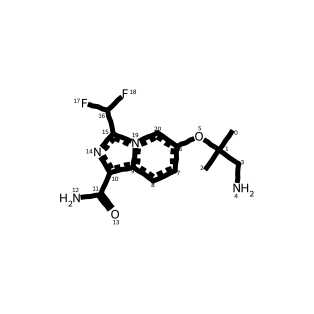 CC(C)(CN)Oc1ccc2c(C(N)=O)nc(C(F)F)n2c1